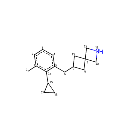 Cc1cccc(CC2CC3(CNC3)C2)c1C1CC1